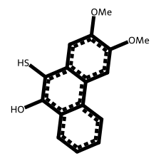 COc1cc2c(S)c(O)c3ccccc3c2cc1OC